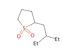 CCC(CC)CC1CCCS1(=O)=O